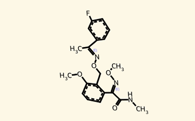 CNC(=O)/C(=N/OC)c1cccc(OC)c1CO/N=C(\C)c1cccc(F)c1